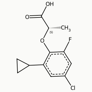 C[C@H](Oc1c(F)cc(Cl)cc1C1CC1)C(=O)O